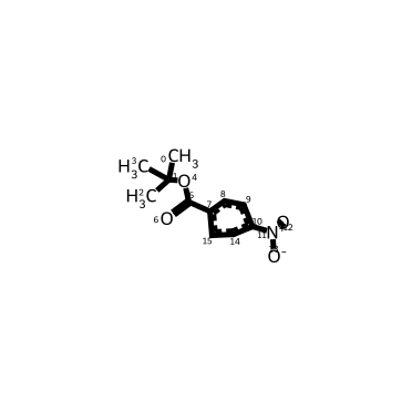 CC(C)(C)OC(=O)c1[c]cc([N+](=O)[O-])cc1